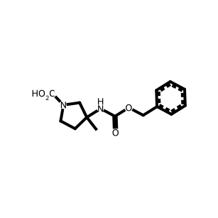 CC1(NC(=O)OCc2ccccc2)CCN(C(=O)O)C1